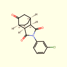 O=C1C[C@@H]2CC[C@H]1[C@@H]1C(=O)N(c3cccc(Cl)c3)C(=O)[C@H]21